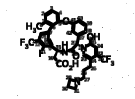 Cc1cccc2c1-c1cc(c(F)c(C(F)(F)F)c1)[C@H](CC(=O)O)NC(=O)[C@@H](N1C=C(CCCN3CCC3)C(C(F)(F)F)=CC1O)c1cccc(c1)O2